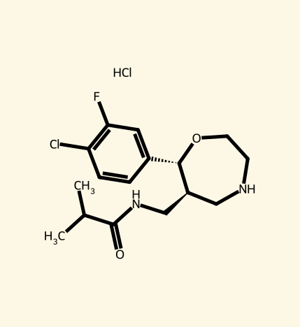 CC(C)C(=O)NC[C@@H]1CNCCO[C@H]1c1ccc(Cl)c(F)c1.Cl